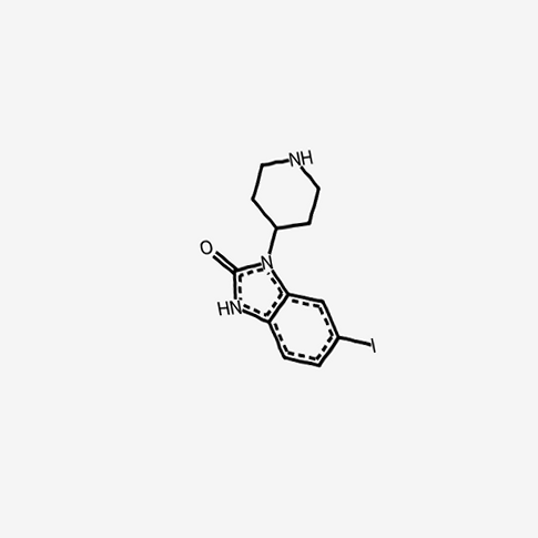 O=c1[nH]c2ccc(I)cc2n1C1CCNCC1